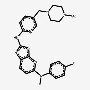 CC(=O)N1CCN(Cc2ccc(Nc3nc4ccc(N(C)c5ccc(F)cc5)nc4s3)nc2)CC1